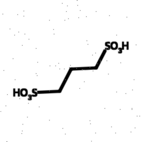 O=S(=O)(O)CCCS(=O)(=O)O